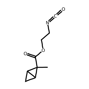 CC1(C(=O)OCCN=C=O)C2CC21